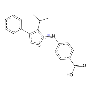 CC(C)n1c(-c2ccccc2)cs/c1=N\c1ccc(C(=O)O)cc1